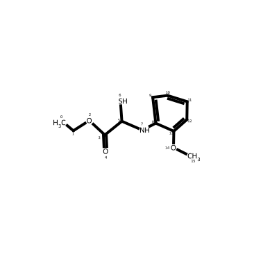 CCOC(=O)C(S)Nc1ccccc1OC